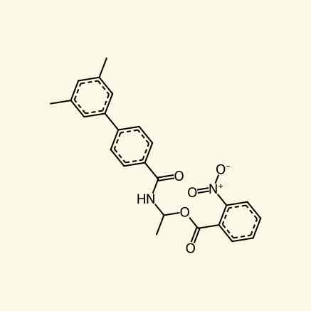 Cc1cc(C)cc(-c2ccc(C(=O)NC(C)OC(=O)c3ccccc3[N+](=O)[O-])cc2)c1